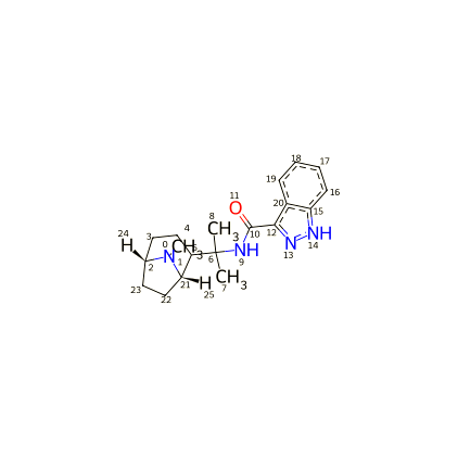 CN1[C@H]2CCC(C(C)(C)NC(=O)c3n[nH]c4ccccc34)[C@@H]1CC2